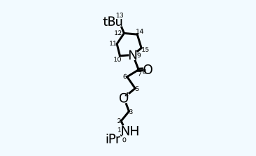 CC(C)NCCOCCC(=O)N1CCC(C(C)(C)C)CC1